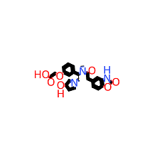 CN(C(=O)Cc1ccc2oc(=O)[nH]c2c1)[C@H](CN1CCC(O)C1)c1cccc(OCC(=O)O)c1